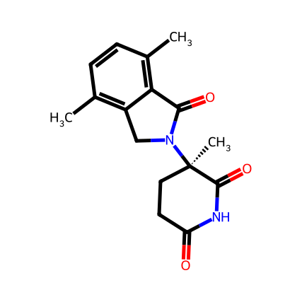 Cc1ccc(C)c2c1CN([C@]1(C)CCC(=O)NC1=O)C2=O